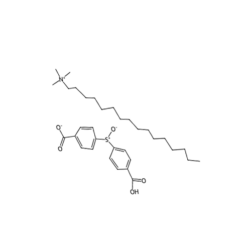 CCCCCCCCCCCCCCCC[N+](C)(C)C.O=C([O-])c1ccc([S+]([O-])c2ccc(C(=O)O)cc2)cc1